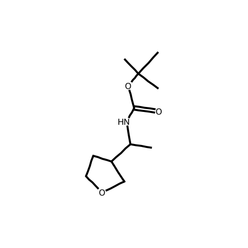 CC(NC(=O)OC(C)(C)C)C1CCOC1